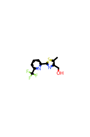 Cc1sc(-c2cccc(C(F)(F)F)n2)nc1CO